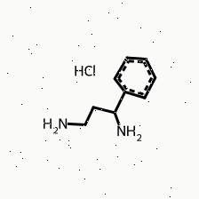 Cl.NCCC(N)c1ccccc1